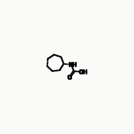 O=C(O)NC1CCCCCC1